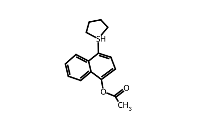 CC(=O)Oc1ccc([SH]2CCCC2)c2ccccc12